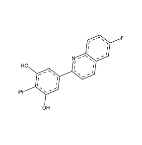 CC(C)c1c(O)cc(-c2ccc3cc(F)ccc3n2)cc1O